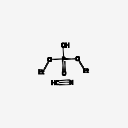 C#N.CCOP(=O)(O)OCC